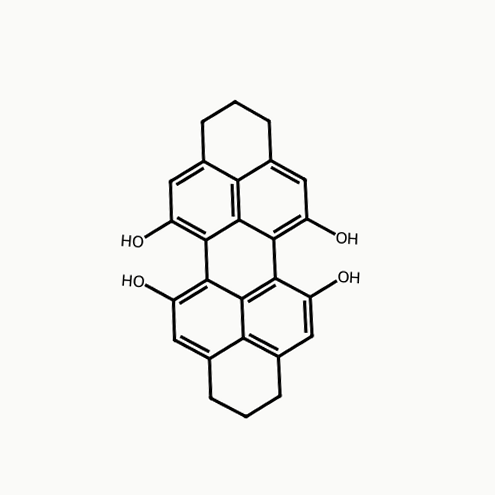 Oc1cc2c3c(cc(O)c4c5c(O)cc6c7c(cc(O)c(c1c34)c75)CCC6)CCC2